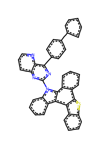 c1ccc(-c2ccc(-c3nc(-n4c5ccccc5c5c6c7ccccc7sc6c6ccccc6c54)nc4cccnc34)cc2)cc1